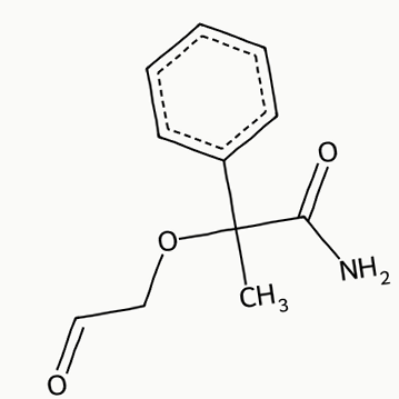 CC(OCC=O)(C(N)=O)c1ccccc1